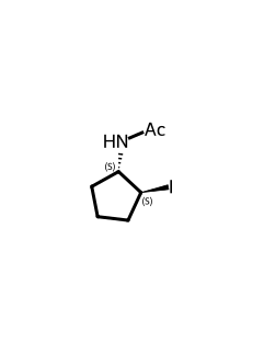 CC(=O)N[C@H]1CCC[C@@H]1I